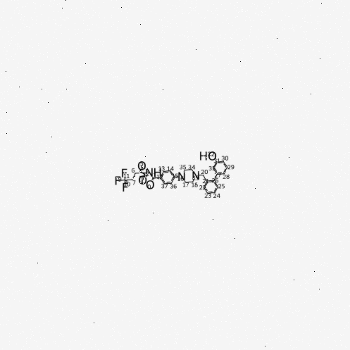 O=C(NS(=O)(=O)CCC(F)(F)F)c1ccc(N2CCN(Cc3ccccc3-c3cccc(O)c3)CC2)cc1